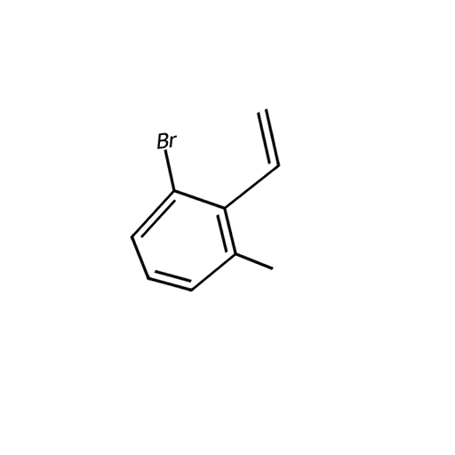 C=Cc1c(C)cccc1Br